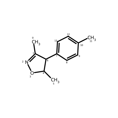 CC1=NOC(C)C1c1ccc(C)cc1